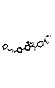 CC(C)(C)OC(=O)N1CCC(Nc2n[nH]c3cc(-c4ccc(OCCN5CCCC5)cc4)ccc23)CC1